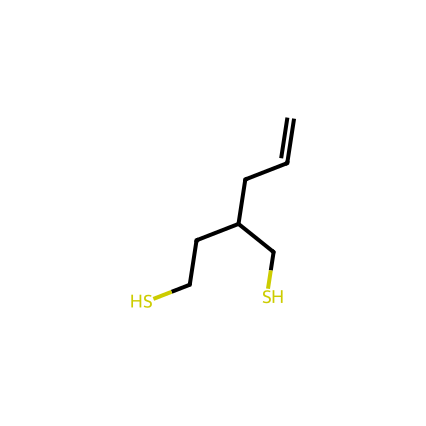 C=CCC(CS)CCS